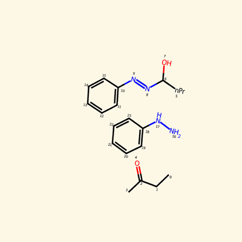 CCC(C)=O.CCCC(O)N=Nc1ccccc1.NNc1ccccc1